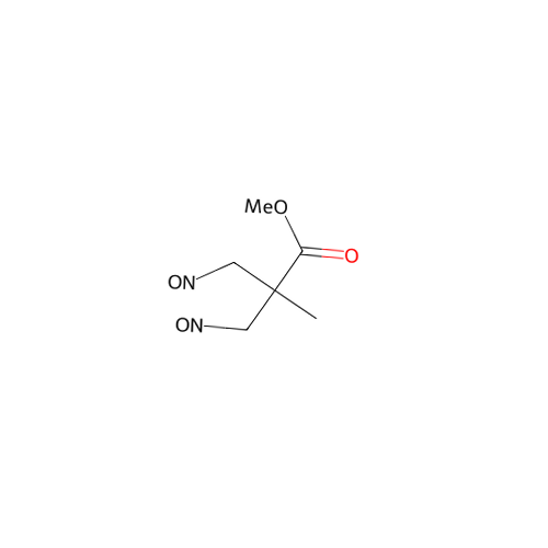 COC(=O)C(C)(CN=O)CN=O